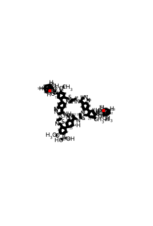 COc1cc(-c2ncc(C)s2)c(-c2ccc3c(Nc4cnc(-c5cc(C)c(B6O[C@@H]7C[C@@H]8C[C@@H](C8(C)C)[C@]7(C)O6)cc5-c5ccc6c(NCc7cnc(-c8cc(OC)c(B9O[C@@H]%10C[C@@H]%11C[C@@H](C%11(C)C)[C@]%10(C)O9)cc8-c8ccc9c(N)cnnc9c8)s7)cnnc6c5)s4)cnnc3c2)cc1B(O)O